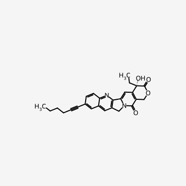 CCCCC#Cc1ccc2nc3c(cc2c1)Cn1c-3cc2c(c1=O)COC(=O)[C@]2(O)CC